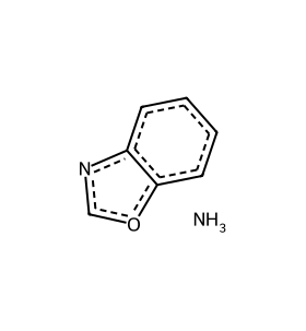 N.c1ccc2ocnc2c1